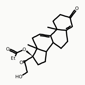 CCC(=O)O[C@]1(C(=O)CO)CCC2C3CCC4=CC(=O)CCC4(C)C3=CCC21C